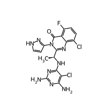 C[C@H](Nc1nc(N)nc(N)c1Cl)c1nc2c(Cl)ccc(F)c2c(=O)n1-c1cc[nH]n1